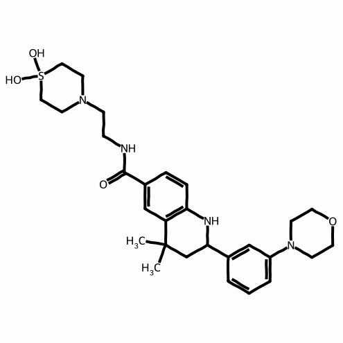 CC1(C)CC(c2cccc(N3CCOCC3)c2)Nc2ccc(C(=O)NCCN3CCS(O)(O)CC3)cc21